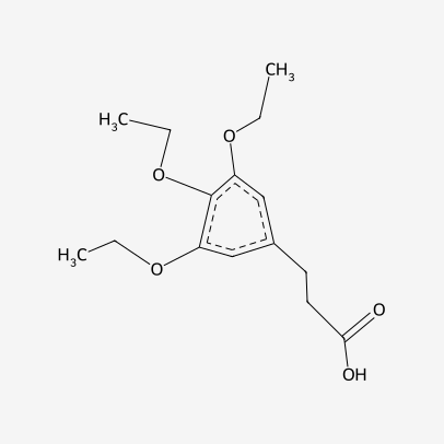 CCOc1cc(CCC(=O)O)cc(OCC)c1OCC